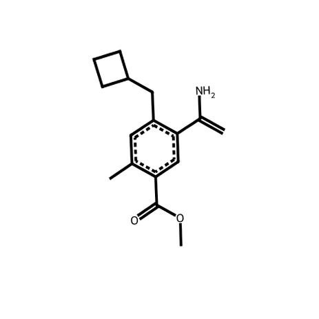 C=C(N)c1cc(C(=O)OC)c(C)cc1CC1CCC1